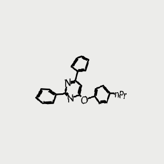 CCCc1ccc(Oc2cc(-c3ccccc3)nc(-c3ccccc3)n2)cc1